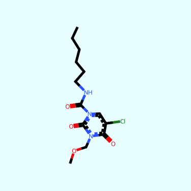 CCCCCCNC(=O)n1cc(Cl)c(=O)n(COC)c1=O